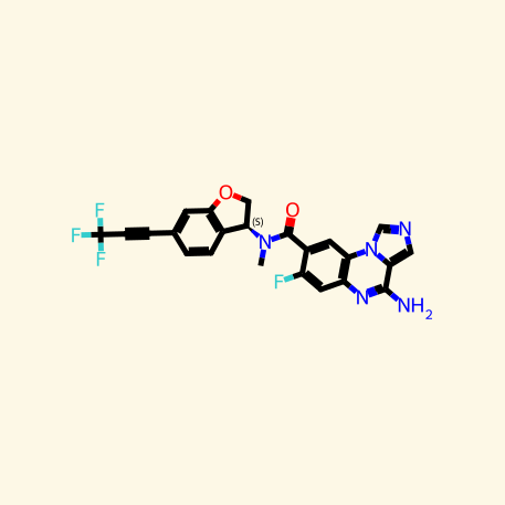 CN(C(=O)c1cc2c(cc1F)nc(N)c1cncn12)[C@@H]1COc2cc(C#CC(F)(F)F)ccc21